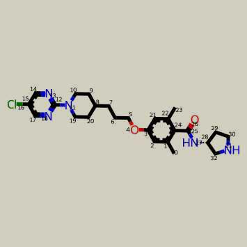 Cc1cc(OCCCC2CCN(c3ncc(Cl)cn3)CC2)cc(C)c1C(=O)N[C@@H]1CCNC1